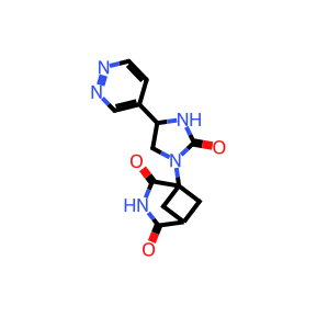 O=C1NC(=O)C2(N3CC(c4ccnnc4)NC3=O)CC1C2